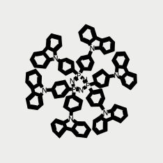 c1ccc2c(c1)c1ccccc1n2-c1ccc(P2(c3ccc(-n4c5ccccc5c5ccccc54)cc3)=NP(c3ccc(-n4c5ccccc5c5ccccc54)cc3)(c3ccc(-n4c5ccccc5c5ccccc54)cc3)=NP(c3ccc(-n4c5ccccc5c5ccccc54)cc3)(c3ccc(-n4c5ccccc5c5ccccc54)cc3)=N2)cc1